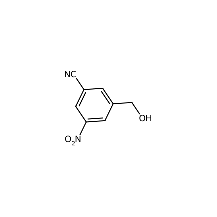 N#Cc1cc(CO)cc([N+](=O)[O-])c1